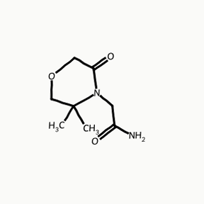 CC1(C)COCC(=O)N1CC(N)=O